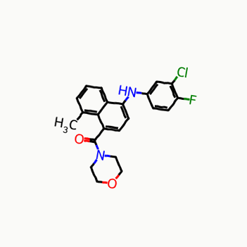 Cc1cccc2c(Nc3ccc(F)c(Cl)c3)ccc(C(=O)N3CCOCC3)c12